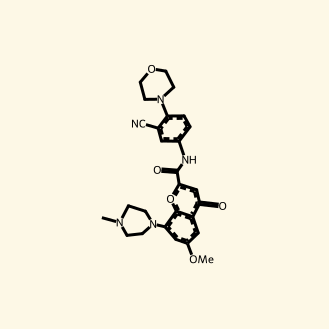 COc1cc(N2CCN(C)CC2)c2oc(C(=O)Nc3ccc(N4CCOCC4)c(C#N)c3)cc(=O)c2c1